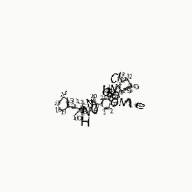 COc1ccc(-c2oc(NC(C)(C)c3ccccc3)nc2C)cc1S(=O)(=O)Nc1ccccc1Cl